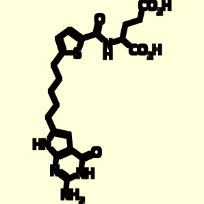 Nc1nc2[nH]c(CCCCCc3ccc(C(=O)NC(CCC(=O)O)C(=O)O)s3)cc2c(=O)[nH]1